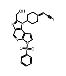 N#CC=C1CCC(n2c(CO)nc3cnc4c(ccn4S(=O)(=O)c4ccccc4)c32)CC1